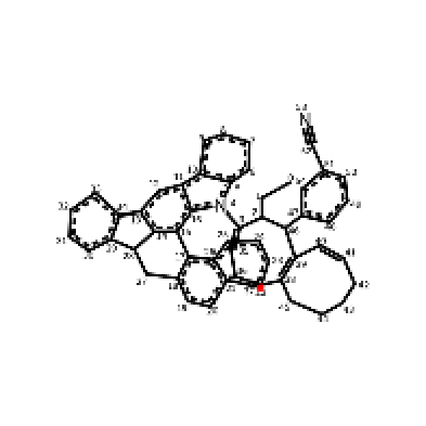 CCC1/C(n2c3ccccc3c3cc4c5c(c32)-c2c(ccc3ccccc23)CC5c2ccccc2-4)=C\CC/C2=C(/C=C\CCCC2)C1c1cccc(C#N)c1